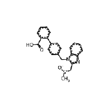 C[S+]([O-])Cc1nc2ccccc2n1Cc1ccc(-c2ccccc2C(=O)O)cc1